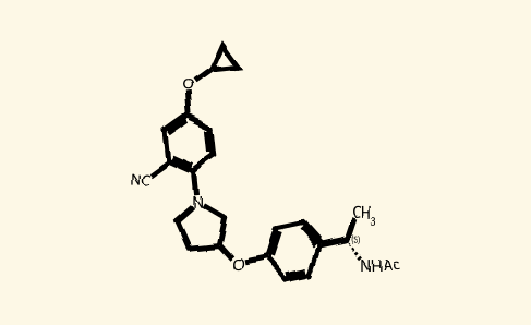 CC(=O)N[C@@H](C)c1ccc(OC2CCN(c3ccc(OC4CC4)cc3C#N)C2)cc1